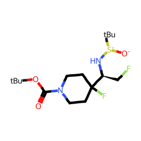 CC(C)(C)OC(=O)N1CCC(F)([C@H](CF)N[S+]([O-])C(C)(C)C)CC1